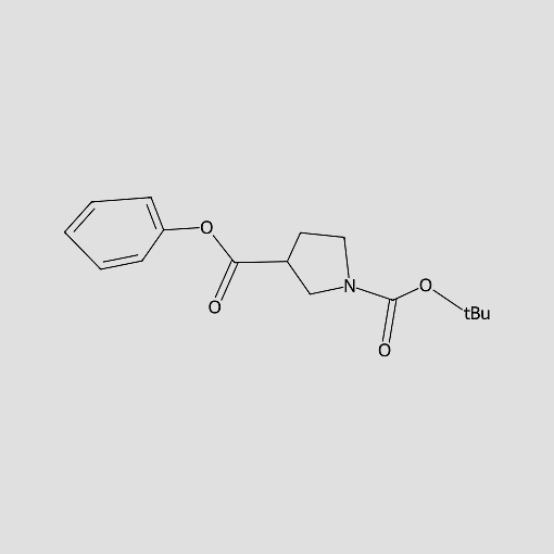 CC(C)(C)OC(=O)N1CCC(C(=O)Oc2ccccc2)C1